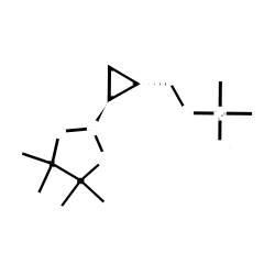 CC1(C)OB([C@H]2C[C@@H]2CO[Si](C)(C)C(C)(C)C)OC1(C)C